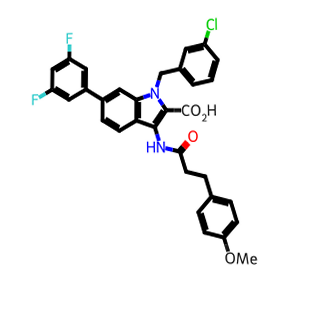 COc1ccc(CCC(=O)Nc2c(C(=O)O)n(Cc3cccc(Cl)c3)c3cc(-c4cc(F)cc(F)c4)ccc23)cc1